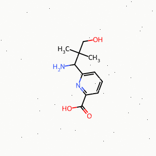 CC(C)(CO)C(N)c1cccc(C(=O)O)n1